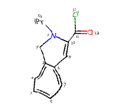 CC(C)N1Cc2ccccc2C=C1C(=O)Cl